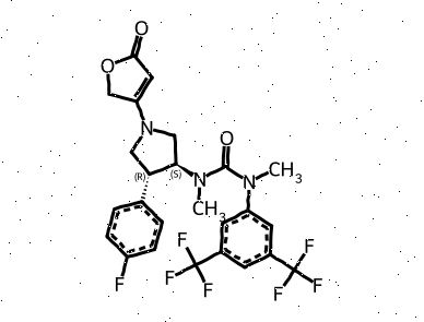 CN(C(=O)N(C)[C@@H]1CN(C2=CC(=O)OC2)C[C@H]1c1ccc(F)cc1)c1cc(C(F)(F)F)cc(C(F)(F)F)c1